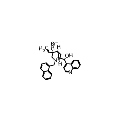 C=C[C@H]1C[N+]2(Cc3cccc4ccccc34)CC[C@H]1C[C@@H]2[C@@H](O)c1ccnc2ccccc12.[Br-]